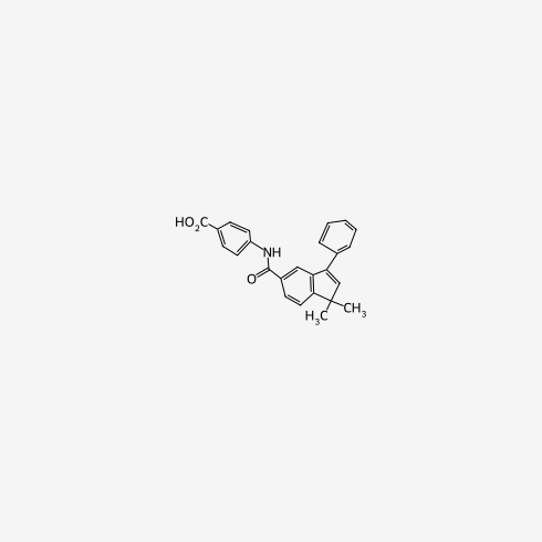 CC1(C)C=C(c2ccccc2)c2cc(C(=O)Nc3ccc(C(=O)O)cc3)ccc21